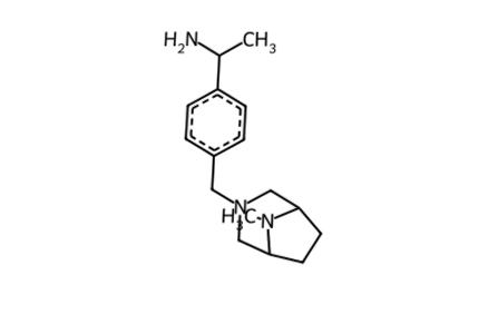 CC(N)c1ccc(CN2CC3CCC(C2)N3C)cc1